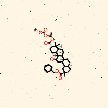 CC(C)OC(=O)OC(C)OC(=O)[C@H]1CC[C@]2(C)[C@H]3C(=O)C=C4C5C[C@@](C)(C(=O)OCc6ccccc6)CC[C@]5(C)CC[C@@]4(C)[C@]3(C)CC[C@H]2C1(C)C